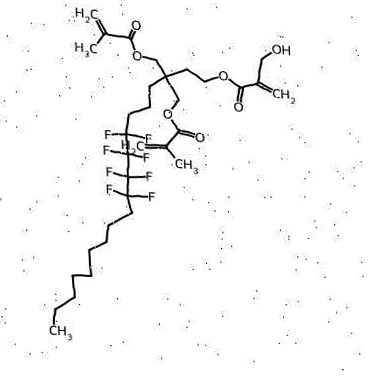 C=C(C)C(=O)OCC(CCCC(F)(F)C(F)(F)C(F)(F)C(F)(F)CCCCCCCCC)(CCOC(=O)C(=C)CO)COC(=O)C(=C)C